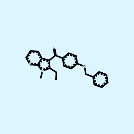 CCc1c(C(=O)c2ccc(OCc3ccccc3)cc2)c2cccnc2n1C